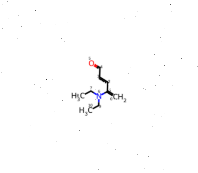 C=C(C=CC=O)N(CC)CC